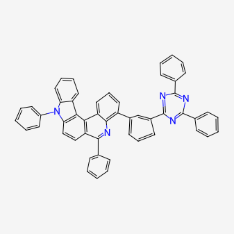 c1ccc(-c2nc(-c3ccccc3)nc(-c3cccc(-c4cccc5c4nc(-c4ccccc4)c4ccc6c(c7ccccc7n6-c6ccccc6)c45)c3)n2)cc1